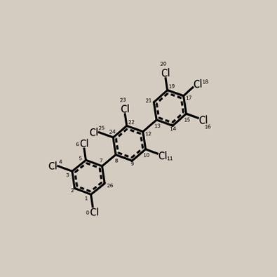 Clc1cc(Cl)c(Cl)c(-c2cc(Cl)c(-c3cc(Cl)c(Cl)c(Cl)c3)c(Cl)c2Cl)c1